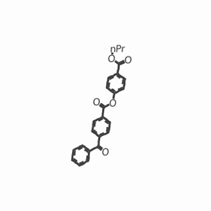 CCCOC(=O)c1ccc(OC(=O)c2ccc(C(=O)c3ccccc3)cc2)cc1